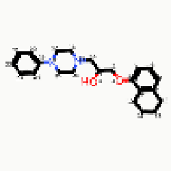 OC(COc1cccc2c1CCCC2)CN1CCN(c2ccccc2)CC1